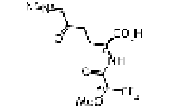 CO[C@H](C(=O)N[C@@H](CCC(=O)C=[N+]=[N-])C(=O)O)C(F)(F)F